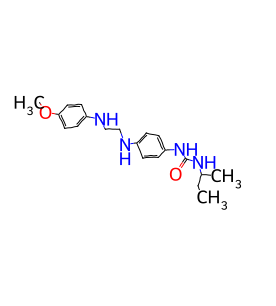 CCC(C)NC(=O)Nc1ccc(NCCNc2ccc(OC)cc2)cc1